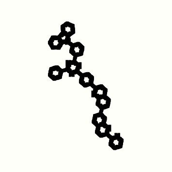 c1ccc(-c2nc(-c3ccc(-c4ccc5ccc(-c6ccc7ccc(-c8ccccn8)nc7c6)cc5n4)cc3)nc(-c3cccc(-n4c5ccccc5c5ccccc54)c3)n2)cc1